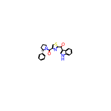 O=C(c1nc(C(=O)N2CCC[C@H]2c2ccccc2)cs1)c1c[nH]c2ccccc12